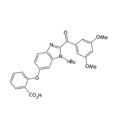 CCCCn1c(C(=O)c2cc(OC)cc(OC)c2)nc2ccc(Oc3ccccc3C(=O)O)cc21